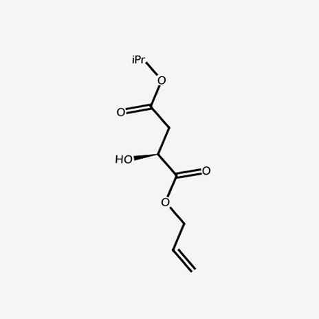 C=CCOC(=O)[C@@H](O)CC(=O)OC(C)C